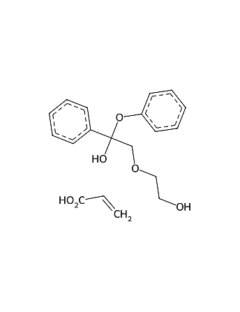 C=CC(=O)O.OCCOCC(O)(Oc1ccccc1)c1ccccc1